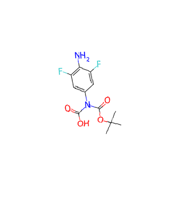 CC(C)(C)OC(=O)N(C(=O)O)c1cc(F)c(N)c(F)c1